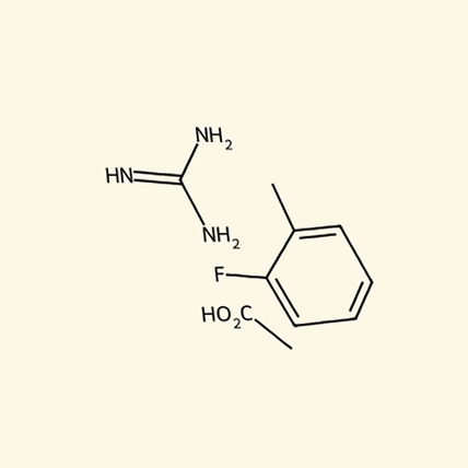 CC(=O)O.Cc1ccccc1F.N=C(N)N